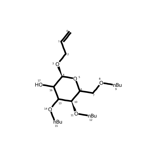 C=CCO[C@H]1OC(COCCCC)[C@@H](OCCCC)C(OCCCC)C1O